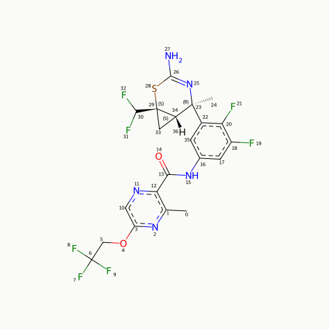 Cc1nc(OCC(F)(F)F)cnc1C(=O)Nc1cc(F)c(F)c([C@]2(C)N=C(N)S[C@@]3(C(F)F)C[C@@H]23)c1